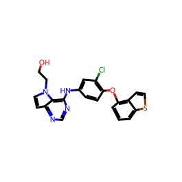 OCCn1ccc2ncnc(Nc3ccc(Oc4cccc5sccc45)c(Cl)c3)c21